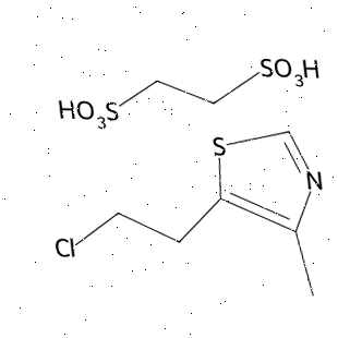 Cc1ncsc1CCCl.O=S(=O)(O)CCS(=O)(=O)O